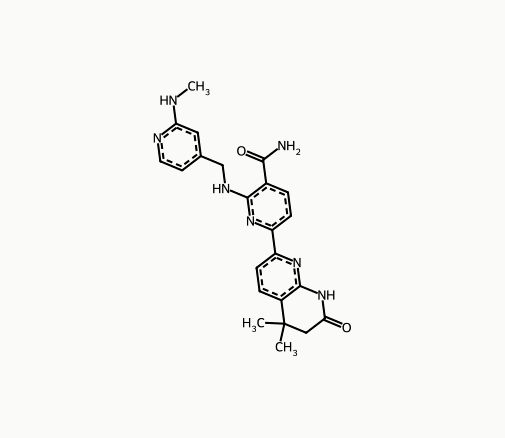 CNc1cc(CNc2nc(-c3ccc4c(n3)NC(=O)CC4(C)C)ccc2C(N)=O)ccn1